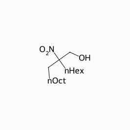 CCCCCCCCCC(CO)(CCCCCC)[N+](=O)[O-]